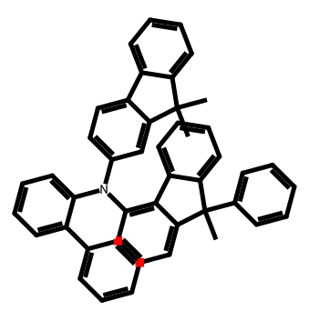 CC1(C)c2ccccc2-c2ccc(N(c3ccccc3-c3ccccc3)c3cccc4c3-c3ccccc3C4(C)c3ccccc3)cc21